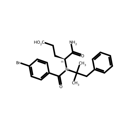 CC(C)(Cc1ccccc1)N(C(=O)c1ccc(Br)cc1)[C@@H](CCC(=O)O)C(N)=O